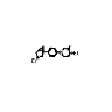 CCN1CC2CC2(c2ccc(N3CCN(CC)C(C)C3)cc2)C1